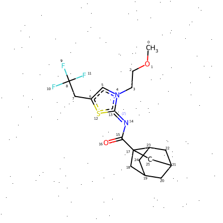 COCCn1cc(CC(F)(F)F)s/c1=N\C(=O)C12CC3CC(CC1C3)C2